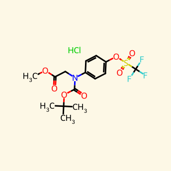 COC(=O)CN(C(=O)OC(C)(C)C)c1ccc(OS(=O)(=O)C(F)(F)F)cc1.Cl